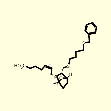 O=C(O)CCC/C=C\C[C@@H]1[C@H](CSCCCCSCc2ccccc2)[C@@H]2CC[C@H]1O2